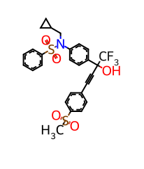 CS(=O)(=O)c1ccc(C#CC(O)(c2ccc(N(CC3CC3)S(=O)(=O)c3ccccc3)cc2)C(F)(F)F)cc1